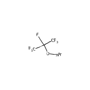 [CH2]CCOC(F)(C(F)(F)F)C(F)(F)F